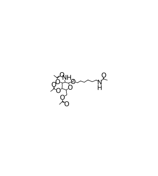 CC(=O)NCCCCCCOC1OC(COC(C)=O)C(OC(C)=O)C(OC(C)=O)C1N